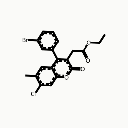 CCOC(=O)Cc1c(-c2cccc(Br)c2)c2cc(C)c(Cl)cc2oc1=O